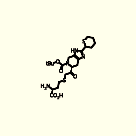 CC(C)(C)OC(=O)N1Cc2[nH]c(C3CCCCS3)nc2C[C@H]1C(=O)CSCC[C@H](N)C(=O)O